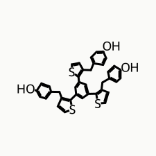 Oc1ccc(Cc2ccsc2-c2cc(-c3sccc3Cc3ccc(O)cc3)cc(-c3sccc3Cc3ccc(O)cc3)c2)cc1